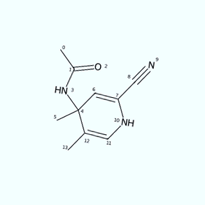 CC(=O)NC1(C)C=C(C#N)NC=C1C